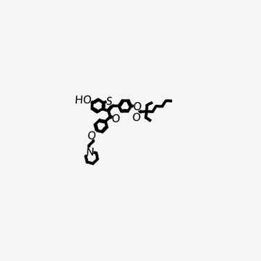 CCCCCC(CC)(CC)C(=O)Oc1ccc(-c2sc3cc(O)ccc3c2C(=O)c2ccc(OCCN3CCCCC3)cc2)cc1